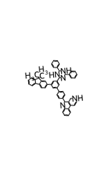 CC1(C)c2ccccc2-c2ccc(-c3cc(-c4ccc(-c5nc6ccccc6c6c5CNC=C6)cc4)cc(C4N=C(c5ccccc5)NC(c5ccccc5)N4)c3)cc21